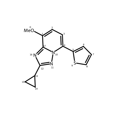 COc1ccc(-c2cccs2)n2nc(C3CC3)nc12